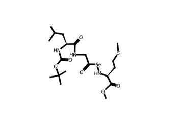 COC(=O)[C@H](CCSC)N[Se]C(=O)CNC(=O)[C@H](CC(C)C)NC(=O)OC(C)(C)C